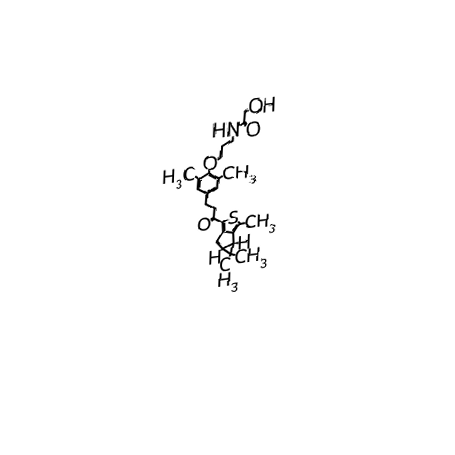 Cc1cc(CCC(=O)c2sc(C)c3c2C[C@@H]2[C@H]3C2(C)C)cc(C)c1OCCCNC(=O)CO